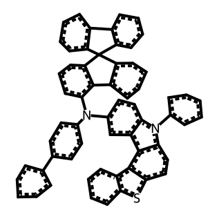 c1ccc(-c2ccc(N(c3ccc4c(c3)c3c5c(ccc3n4-c3ccccc3)sc3ccccc35)c3cccc4c3-c3ccccc3C43c4ccccc4-c4ccccc43)cc2)cc1